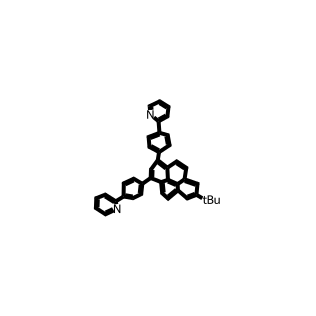 CC(C)(C)c1cc2ccc3c(-c4ccc(-c5ccccn5)cc4)cc(-c4ccc(-c5ccccn5)cc4)c4ccc(c1)c2c34